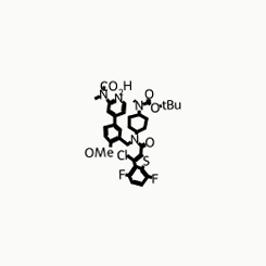 COc1ccc(-c2ccnc(N(C)C(=O)O)c2)cc1CN(C(=O)c1sc2c(F)ccc(F)c2c1Cl)C1CCC(N(C)C(=O)OC(C)(C)C)CC1